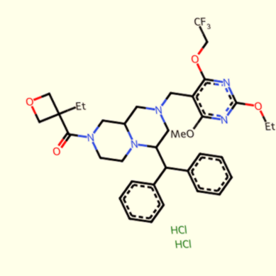 CCOc1nc(OC)c(CN2CC3CN(C(=O)C4(CC)COC4)CCN3C(C(c3ccccc3)c3ccccc3)C2)c(OCC(F)(F)F)n1.Cl.Cl